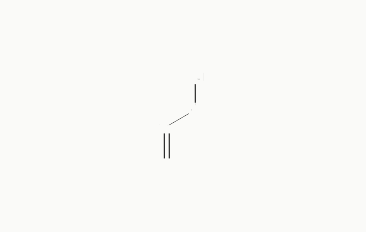 C=[SiH]O[SiH3]